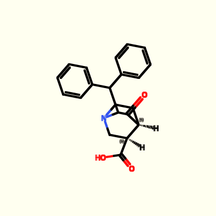 O=C(O)[C@H]1CN2CC[C@@H]1C(=O)C2C(c1ccccc1)c1ccccc1